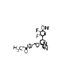 C=CC(=O)N1CC(COc2cc(-c3ccc(O)c(F)c3F)cn3cncc23)C1